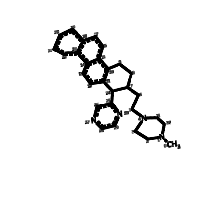 CN1CCN(CCC2CCc3c(ccc4c3ccc3ccccc34)C2c2cnccn2)CC1